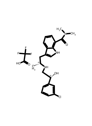 C[C@H](Cc1c[nH]c2c(C(=O)N(C)C)cccc12)NC[C@H](O)c1cccc(Cl)c1.O=C(O)C(F)(F)F